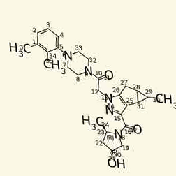 Cc1cccc(N2CCN(C(=O)Cn3nc(C(=O)N4C[C@H](O)C[C@H]4C)c4c3CC3C(C)C43)CC2)c1C